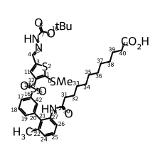 CSc1sc(C=NNC(=O)OC(C)(C)C)cc1S(=O)(=O)c1cccc(-c2c(C)cccc2NC(=O)CCCCCCCCCCC(=O)O)c1